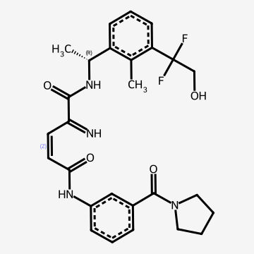 Cc1c([C@@H](C)NC(=O)C(=N)/C=C\C(=O)Nc2cccc(C(=O)N3CCCC3)c2)cccc1C(F)(F)CO